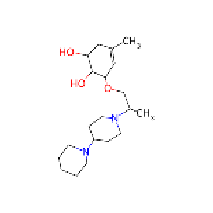 CC1=CC(OCC(C)N2CCC(N3CCCCC3)CC2)C(O)C(O)C1